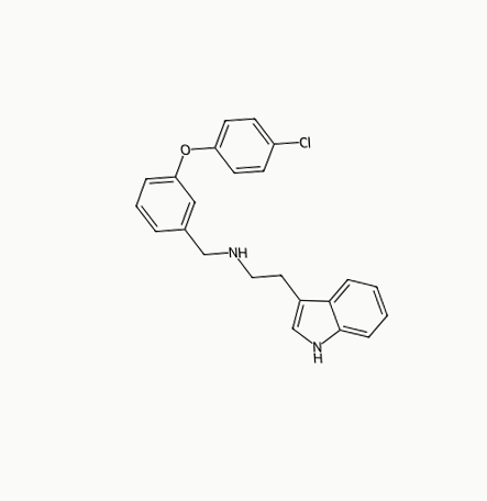 Clc1ccc(Oc2cccc(CNCCc3c[nH]c4ccccc34)c2)cc1